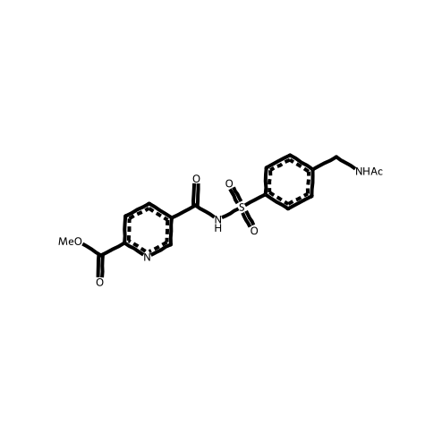 COC(=O)c1ccc(C(=O)NS(=O)(=O)c2ccc(CNC(C)=O)cc2)cn1